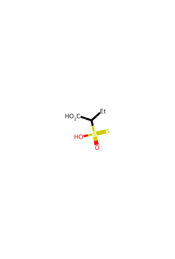 CCC(C(=O)O)S(=O)(O)=S